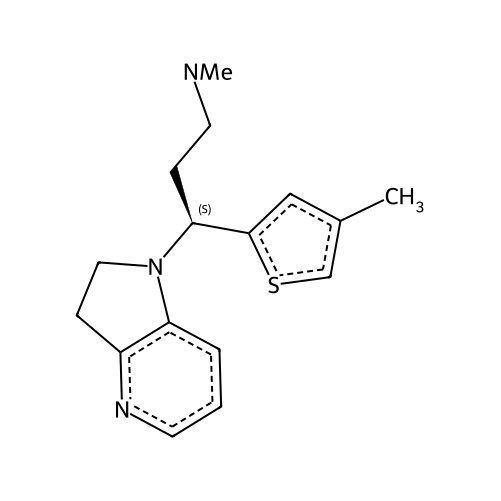 CNCC[C@@H](c1cc(C)cs1)N1CCc2ncccc21